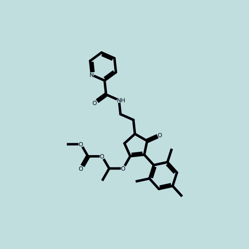 COC(=O)OC(C)OC1=C(c2c(C)cc(C)cc2C)C(=O)C(CCNC(=O)c2ccccn2)C1